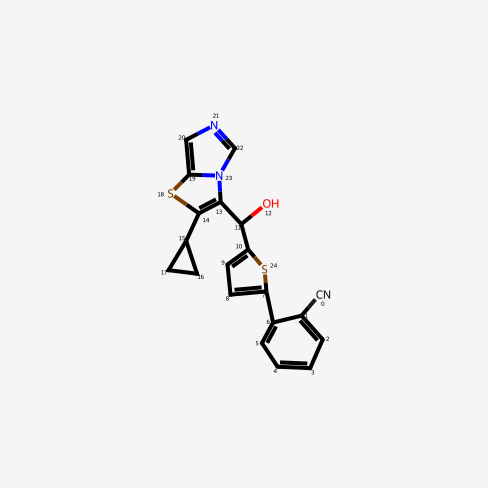 N#Cc1ccccc1-c1ccc(C(O)c2c(C3CC3)sc3cncn23)s1